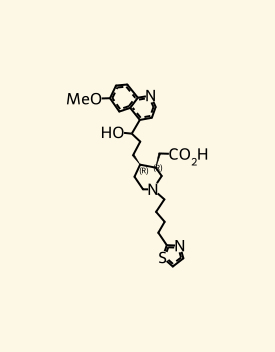 COc1ccc2nccc(C(O)CC[C@@H]3CCN(CCCCc4nccs4)C[C@@H]3CC(=O)O)c2c1